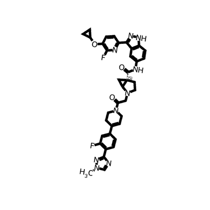 Cn1cnc(-c2ccc(C3=CCN(C(=O)CN4CC[C@]5(C(=O)Nc6ccc7[nH]nc(-c8ccc(OC9CC9)c(F)n8)c7c6)CC45)CC3)cc2F)n1